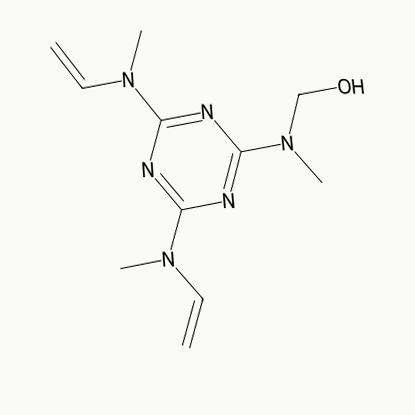 C=CN(C)c1nc(N(C)C=C)nc(N(C)CO)n1